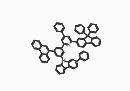 c1ccc(-c2cc(-c3cc(-c4cc5ccccc5c5ccccc45)cc(-n4c5ccccc5c5ccc(-c6ccccc6)cc54)c3)nc(-c3ccc4c(c3)C(c3ccccc3)(c3ccccc3)c3ccccc3-4)c2)cc1